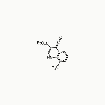 CCOC(=O)C1=CNc2c(C)cccc2C1=C=O